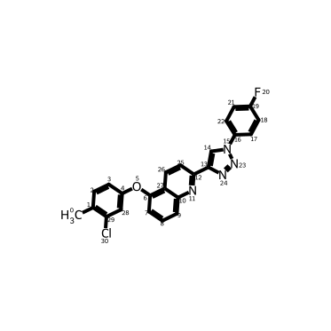 Cc1ccc(Oc2cccc3nc(-c4cn(-c5ccc(F)cc5)nn4)ccc23)cc1Cl